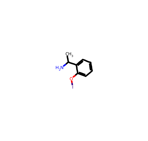 CC(N)c1ccccc1OI